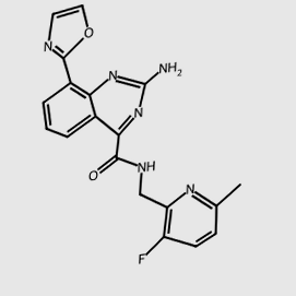 Cc1ccc(F)c(CNC(=O)c2nc(N)nc3c(-c4ncco4)cccc23)n1